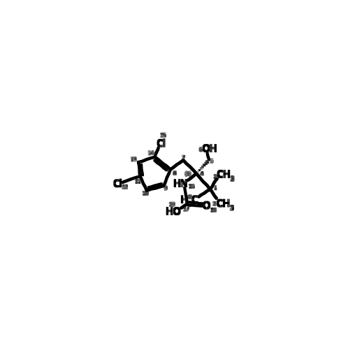 CC(C)(C)[C@](CO)(Cc1ccc(Cl)cc1Cl)NC(=O)O